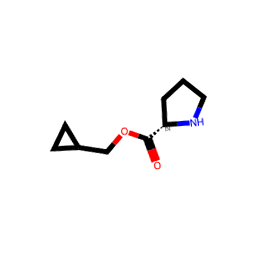 O=C(OCC1CC1)[C@@H]1CCCN1